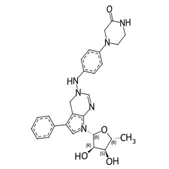 C[C@H]1O[C@@H](n2cc(-c3ccccc3)c3c2N=CN(Nc2ccc(N4CCNC(=O)C4)cc2)C3)[C@H](O)[C@@H]1O